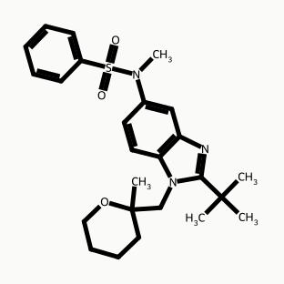 CN(c1ccc2c(c1)nc(C(C)(C)C)n2CC1(C)CCCCO1)S(=O)(=O)c1ccccc1